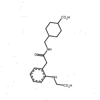 O=C(O)CNc1ccccc1CC(=O)NCC1CCC(C(=O)O)CC1